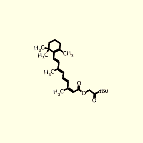 CC1=C(/C=C/C(C)=C/C=C/C(C)=C\C(=O)OCC(=O)C(C)(C)C)C(C)(C)CCC1